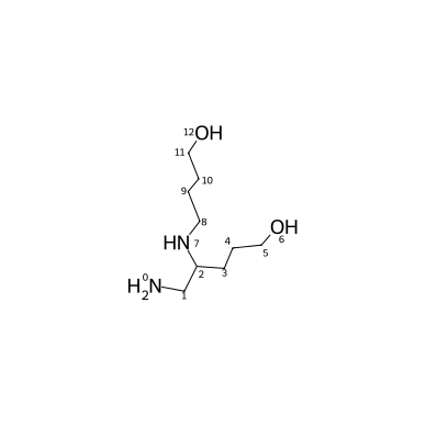 NCC(CCCO)NCCCCO